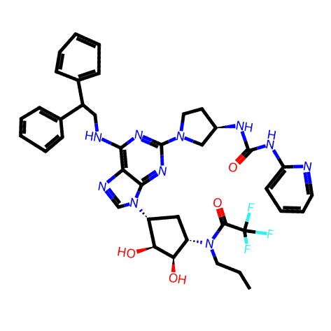 CCCN(C(=O)C(F)(F)F)[C@H]1C[C@@H](n2cnc3c(NCC(c4ccccc4)c4ccccc4)nc(N4CC[C@@H](NC(=O)Nc5ccccn5)C4)nc32)[C@H](O)[C@@H]1O